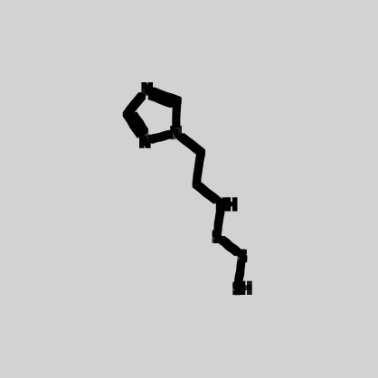 SSSNCCn1cncn1